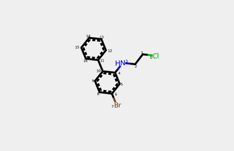 ClCCNc1cc(Br)ccc1-c1ccccc1